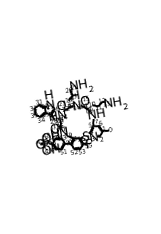 Cc1cnc2c(c1)CN[C@@H](CCCN)C(=O)N[C@@H](CCCN)C(=O)N[C@@H](Cc1c[nH]c3ccccc13)C(=O)NCc1c(-c3ccc(P(=O)(O)O)cc3)ccc(F)c1S2